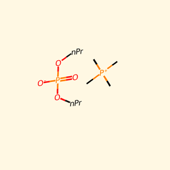 CCCOP(=O)([O-])OCCC.C[P+](C)(C)C